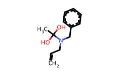 C=CCN(Cc1ccccc1)C(C)(O)O